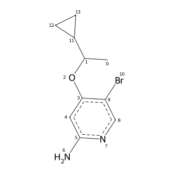 CC(Oc1cc(N)ncc1Br)C1CC1